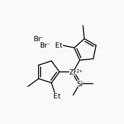 CCC1=[C]([Zr+2]([C]2=C(CC)C(C)=CC2)=[Si](C)C)CC=C1C.[Br-].[Br-]